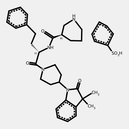 CC1(C)C(=O)N(C2CCN(C(=O)[C@H](CCc3ccccc3)NC(=O)[C@@H]3CCCNC3)CC2)c2ccccc21.O=S(=O)(O)c1ccccc1